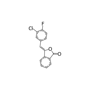 O=C1O/C(=C\c2ccc(F)c(Cl)c2)c2ccccc21